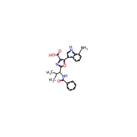 Bc1cccc2c(-c3oc([C@@H](NC(=O)c4ccccc4)C(C)C)nc3C(=O)O)c[nH]c12